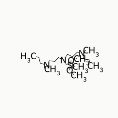 CCCN(C)CCCN(CCCN(C)CCC)C[Si](C)(OC)OC